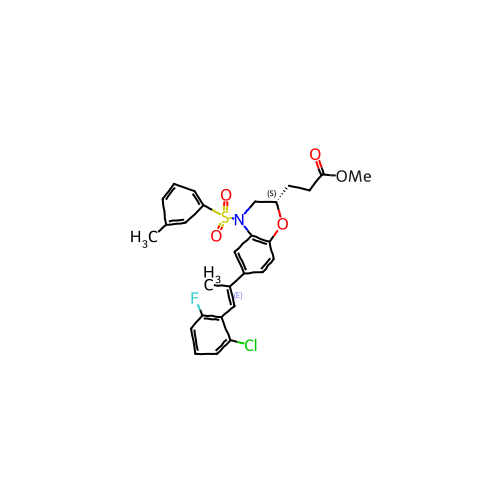 COC(=O)CC[C@H]1CN(S(=O)(=O)c2cccc(C)c2)c2cc(/C(C)=C/c3c(F)cccc3Cl)ccc2O1